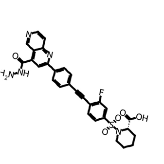 NNC(=O)c1cc(-c2ccc(C#Cc3ccc(S(=O)(=O)N4CCCC[C@H]4C(=O)O)cc3F)cc2)nc2ccncc12